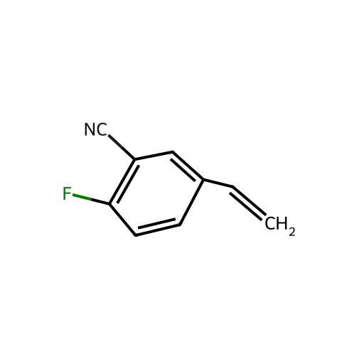 C=Cc1ccc(F)c(C#N)c1